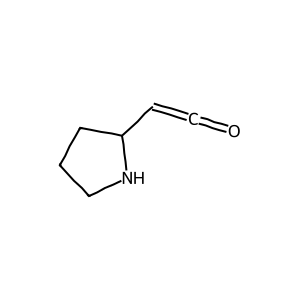 O=C=CC1CCCN1